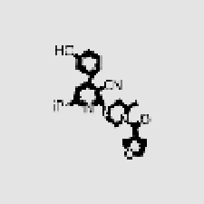 CC(C)c1cc(-c2cccc(O)c2)c(C#N)c(N2CCN(C(=O)c3ccoc3)C(C)C2)n1